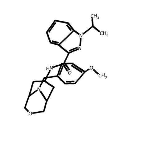 COc1ccc(CN2C3COCC2CC(NC(=O)c2nn(C(C)C)c4ccccc24)C3)cc1